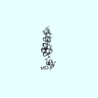 CC(OC(=O)CCC(=O)OC1CC(C(=O)OC2(C)CC3C4CCC(C4)C3C2)OC1=O)C(F)(F)S(=O)(=O)O